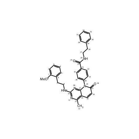 COc1ccccc1CCNc1nc(C)c2ccc(=O)n(-c3ccc(C(=O)NCCc4ccccc4)cc3)c2n1